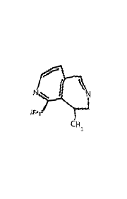 CC(C)c1nccc2c1C(C)CN=C2